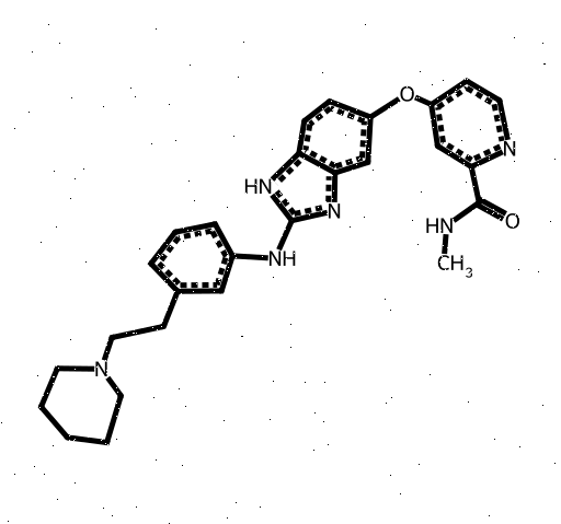 CNC(=O)c1cc(Oc2ccc3[nH]c(Nc4cccc(CCN5CCCCC5)c4)nc3c2)ccn1